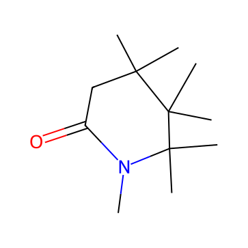 CN1C(=O)CC(C)(C)C(C)(C)C1(C)C